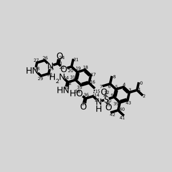 CC(C)c1cc(C(C)C)c(S(=O)(=O)N[C@@H](Cc2ccc(C(C)OC(=O)N3CCNCC3)c(C(=N)N)c2)C(=O)O)c(C(C)C)c1